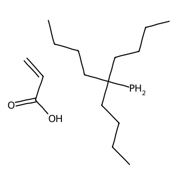 C=CC(=O)O.CCCCC(P)(CCCC)CCCC